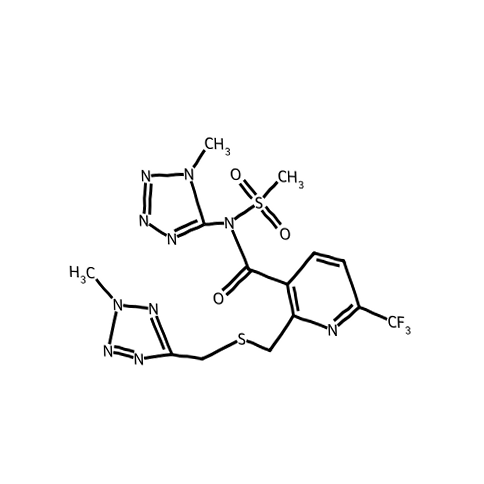 Cn1nnc(CSCc2nc(C(F)(F)F)ccc2C(=O)N(c2nnnn2C)S(C)(=O)=O)n1